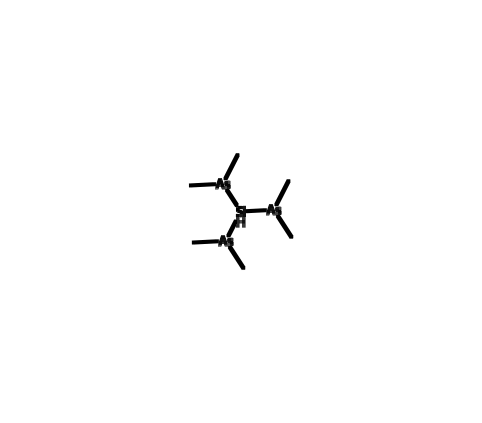 C[As](C)[SiH]([As](C)C)[As](C)C